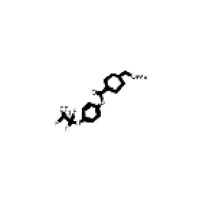 COCC1CCC(C(=O)Oc2ccc(OC(F)(F)C(F)C(F)(F)F)cc2)CC1